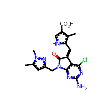 Cc1c(C(=O)O)c[nH]c1/C=C1\C(=O)N(Cc2cc(C)n(C)n2)c2nc(N)nc(Cl)c21